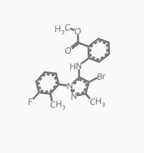 COC(=O)c1ccccc1Nc1c(Br)c(C)nn1-c1cccc(F)c1C